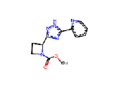 CC(C)(C)OC(=O)N1CCC1c1n[nH]c(-c2ccccn2)n1